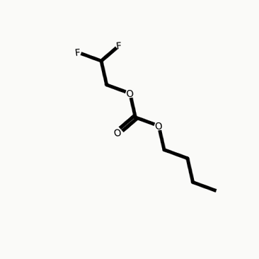 CCCCOC(=O)OCC(F)F